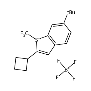 CC(C)(C)c1ccc2cc(C3CCC3)[s+](C(F)(F)F)c2c1.F[B-](F)(F)F